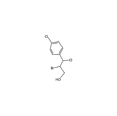 OCC(Br)C(Cl)c1ccc(Cl)cc1